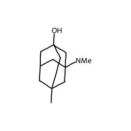 CNC12CC3CC(C)(CC(O)(C3)C1)C2